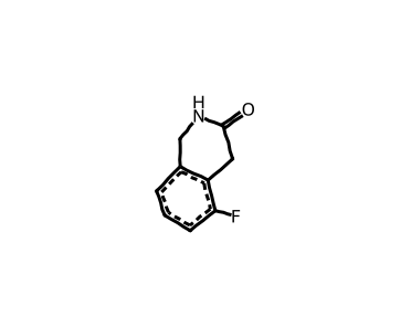 O=C1Cc2c(F)cccc2CN1